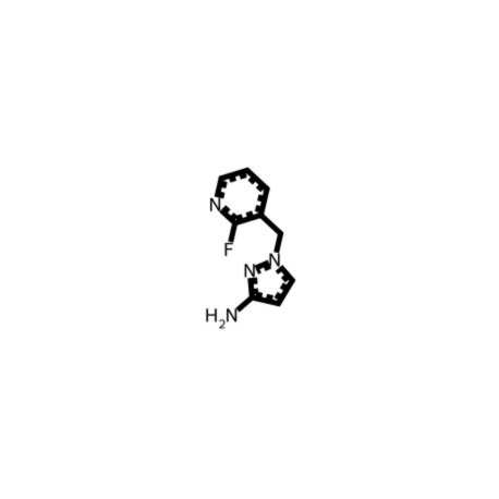 Nc1ccn(Cc2cccnc2F)n1